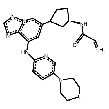 C=CC(=O)N[C@@H]1CCC(c2cc(Nc3ccc(N4CCOCC4)cn3)c3ncnn3c2)C1